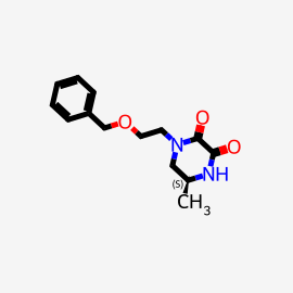 C[C@H]1CN(CCOCc2ccccc2)C(=O)C(=O)N1